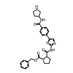 O=C(NC1CCNC1)c1ccc(-c2csc(NC(=O)C3CCCN3C(=O)OCc3ccccc3)n2)cc1